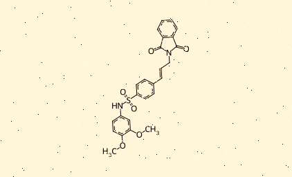 COc1ccc(NS(=O)(=O)c2ccc(C=CCN3C(=O)c4ccccc4C3=O)cc2)cc1OC